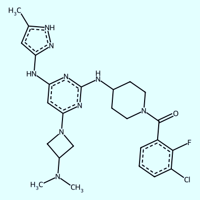 Cc1cc(Nc2cc(N3CC(N(C)C)C3)nc(NC3CCN(C(=O)c4cccc(Cl)c4F)CC3)n2)n[nH]1